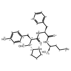 CC(C)(C)CC[C@H](NC(=O)[C@H](Cc1cccnc1)NC(=O)[C@H](Cc1ccc(O)cc1)N(C=O)[C@H]1CCCN1)C(=O)O